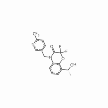 C[C@@H](O)c1cccc2c1OC(F)(F)C(=O)N2Cc1ccc(C(F)(F)F)nc1